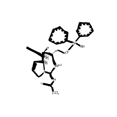 C=C1N[C@H]2[C@H](CO[Si](c3ccccc3)(c3ccccc3)C(C)(C)C)N/C(=N/C(=O)C(Cl)(Cl)Cl)N3CC=C[C@]23N1